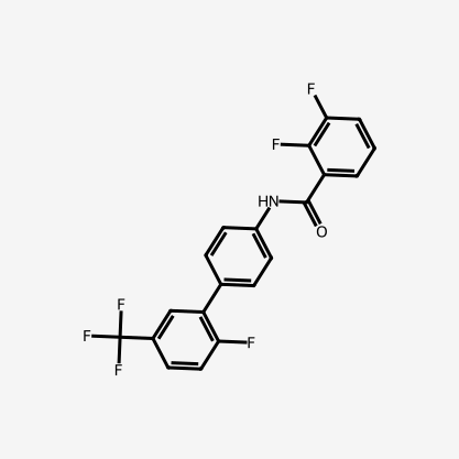 O=C(Nc1ccc(-c2cc(C(F)(F)F)ccc2F)cc1)c1cccc(F)c1F